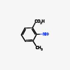 Cc1cccc(C(=O)O)c1[NH]